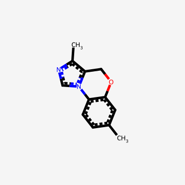 Cc1ccc2c(c1)OCc1c(C)ncn1-2